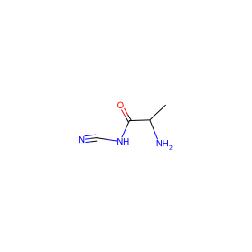 CC(N)C(=O)NC#N